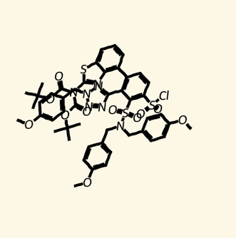 COc1ccc(CN(Cc2ccc(OC)cc2)S(=O)(=O)c2c(S(=O)(=O)Cl)ccc(-c3cccc4sc(N(C(=O)OC(C)(C)C)C(=O)OC(C)(C)C)nc34)c2-c2nnn(Cc3ccc(OC)cc3)n2)cc1